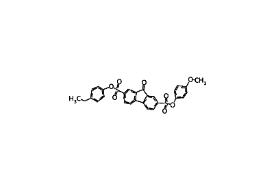 CCc1ccc(OS(=O)(=O)c2ccc3c(c2)C(=O)c2cc(S(=O)(=O)Oc4ccc(OC)cc4)ccc2-3)cc1